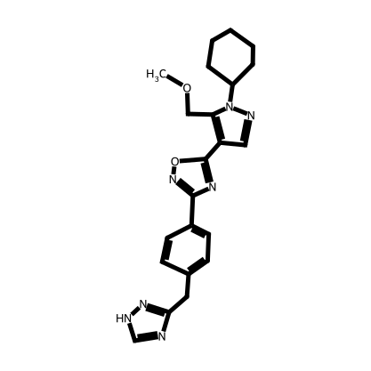 COCc1c(-c2nc(-c3ccc(Cc4nc[nH]n4)cc3)no2)cnn1C1CCCCC1